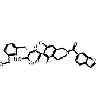 O=C(N[C@@H](Cc1cccc(CO)c1)C(O)O)c1c(Cl)cc2c(c1Cl)CCN(C(=O)c1ccc3ccoc3c1)C2